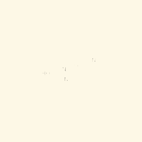 Cc1c(C(O)C(C)C)nc2n1CCc1ccccc1C2OC1CCN(C)CC1